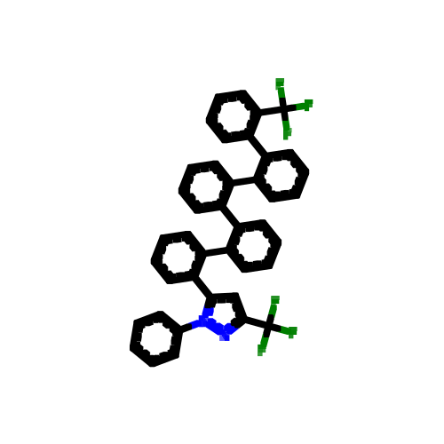 FC(F)(F)c1cc(-c2ccccc2-c2ccccc2-c2ccccc2-c2ccccc2-c2ccccc2C(F)(F)F)n(-c2ccccc2)n1